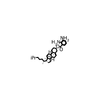 CC(C)CCC[C@@H](C)[C@H]1CC[C@H]2[C@@H]3CC=C4C[C@@H](OC(=O)c5cccc(N)c5N)CC[C@]4(C)[C@H]3CC[C@]12C